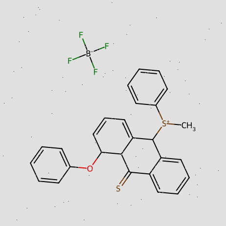 C[S+](c1ccccc1)C1C2=CC=CC(Oc3ccccc3)C2C(=S)c2ccccc21.F[B-](F)(F)F